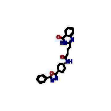 O=C(CCCc1nc2ccccc2c(=O)[nH]1)N[C@H]1CC[C@H](c2nnc(-c3ccccc3)o2)CC1